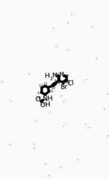 Nc1ncc(Cl)c(Br)c1C#CC1CCCC(NC(=O)O)C1